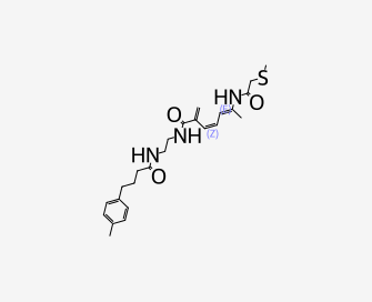 C=C(/C=C\C=C(/C)NC(=O)CSC)C(=O)NCCNC(=O)CCCc1ccc(C)cc1